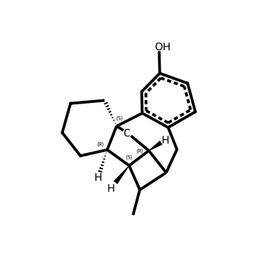 CC1C2Cc3ccc(O)cc3[C@]34CCCC[C@@H]3[C@@H]1[C@@H]2C4